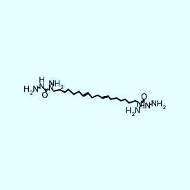 NNC(=O)N(N)CCCCCCC=CCCC=CCCCCCCN(N)C(=O)NN